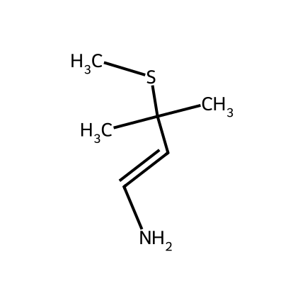 CSC(C)(C)C=CN